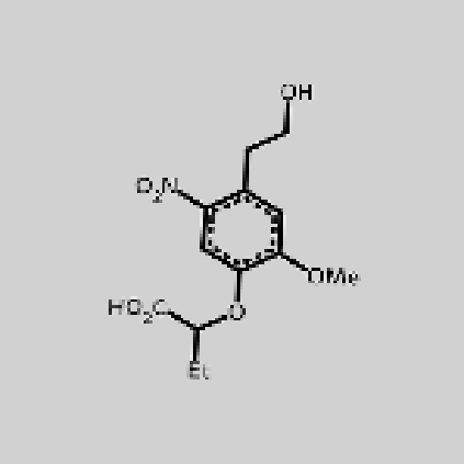 CCC(Oc1cc([N+](=O)[O-])c(CCO)cc1OC)C(=O)O